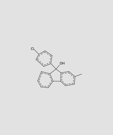 Cc1ccc2c(c1)C(O)(c1ccc(Cl)cc1)c1ccccc1-2